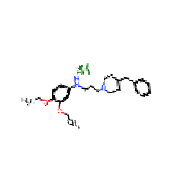 CCOc1ccc(NCCCN2CCC(Cc3ccccc3)CC2)cc1OCC.Cl.Cl